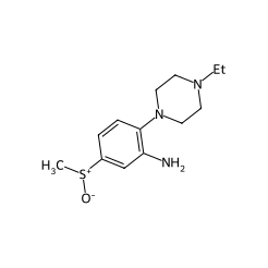 CCN1CCN(c2ccc([S+](C)[O-])cc2N)CC1